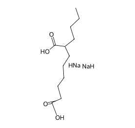 CCCCC(CCCCCC(=O)O)C(=O)O.[NaH].[NaH]